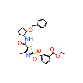 CCOC(=O)c1cccc(S(=O)(=O)c2nc(C)c(C(=O)N[C@H]3CCC[C@@H]3OCc3ccccc3)s2)c1